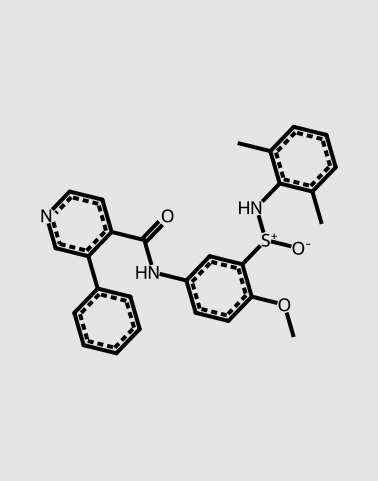 COc1ccc(NC(=O)c2ccncc2-c2ccccc2)cc1[S+]([O-])Nc1c(C)cccc1C